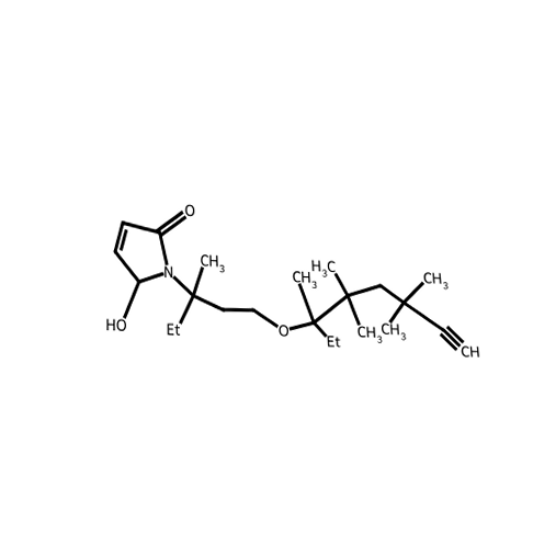 C#CC(C)(C)CC(C)(C)C(C)(CC)OCCC(C)(CC)N1C(=O)C=CC1O